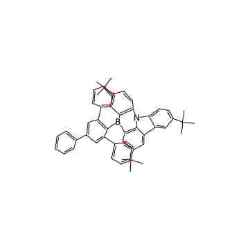 CC(C)(C)c1ccc2c(c1)B(c1c(-c3ccccc3)cc(-c3ccccc3)cc1-c1ccccc1)c1cc(C(C)(C)C)cc3c4cc(C(C)(C)C)ccc4n-2c13